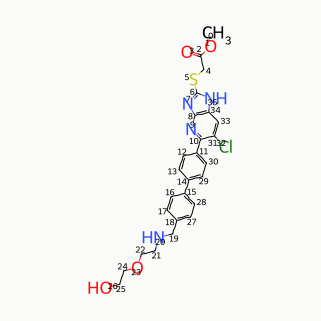 COC(=O)CSc1nc2nc(-c3ccc(-c4ccc(CNCCOCCO)cc4)cc3)c(Cl)cc2[nH]1